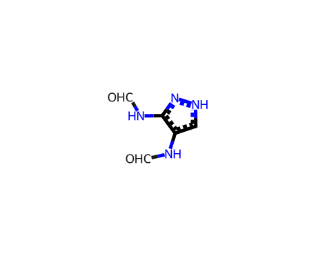 O=CNc1c[nH]nc1NC=O